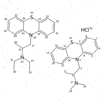 CC(CN1c2ccccc2Sc2ccccc21)N(C)C.CCN(CC)C(C)CN1c2ccccc2Sc2ccccc21.Cl